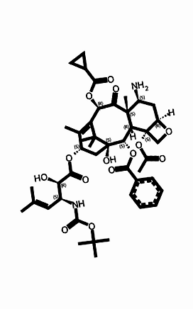 CC(=O)O[C@@]12CO[C@@H]1C[C@H](N)[C@@]1(C)C(=O)[C@H](OC(=O)C3CC3)C3=C(C)[C@@H](OC(=O)[C@H](O)[C@H](C=C(C)C)NC(=O)OC(C)(C)C)C[C@@](O)([C@@H](OC(=O)c4ccccc4)[C@H]21)C3(C)C